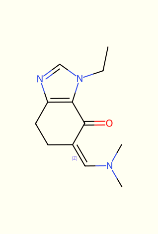 CCn1cnc2c1C(=O)/C(=C\N(C)C)CC2